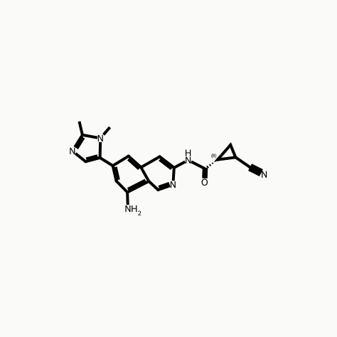 Cc1ncc(-c2cc(N)c3cnc(NC(=O)[C@@H]4CC4C#N)cc3c2)n1C